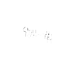 CC(C)(CCCCc1noc(C(F)(F)F)n1)C(=O)Nc1ccccc1F